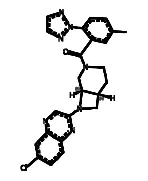 Cc1ccc(-n2nccn2)c(C(=O)N2CC[C@@H]3CN(c4cnc5cc(Cl)ccc5n4)[C@@H]3C2)c1